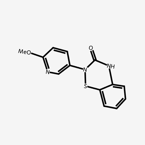 COc1ccc(N2Sc3ccccc3NC2=O)cn1